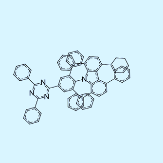 C1=CCCC(c2ccc(-c3ccccc3)c3c2c2c(-c4ccccc4)ccc(-c4ccccc4)c2n3-c2c(-c3ccccc3)cc(-c3nc(-c4ccccc4)nc(-c4ccccc4)n3)cc2-c2ccccc2)=C1